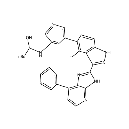 CCCCC(O)Nc1cncc(-c2ccc3[nH]nc(-c4nc5c(-c6cccnc6)ccnc5[nH]4)c3c2F)c1